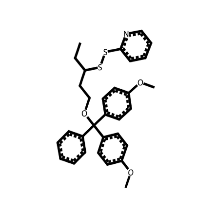 CCC(CCOC(c1ccccc1)(c1ccc(OC)cc1)c1ccc(OC)cc1)SSc1ccccn1